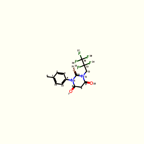 Cc1ccc(N2C(=O)CC(=O)N(CC(F)(F)C(F)(F)F)C2=S)cc1